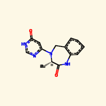 CCC(C)[C@H]1C(=O)Nc2ccccc2CN1c1cc(=O)[nH]cn1